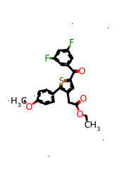 CCOC(=O)Cc1cc(C(=O)c2cc(F)cc(F)c2)sc1-c1ccc(OC)cc1